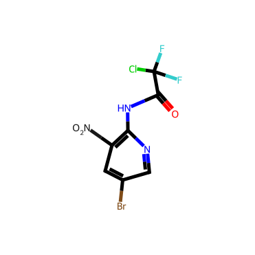 O=C(Nc1ncc(Br)cc1[N+](=O)[O-])C(F)(F)Cl